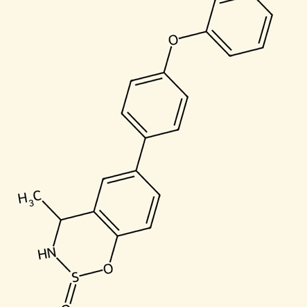 CC1NS(=O)Oc2ccc(-c3ccc(Oc4ccccc4)cc3)cc21